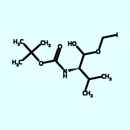 CC(C)[C@H](NC(=O)OC(C)(C)C)C(O)OCI